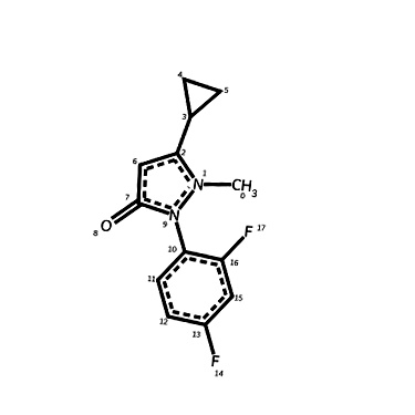 Cn1c(C2CC2)cc(=O)n1-c1ccc(F)cc1F